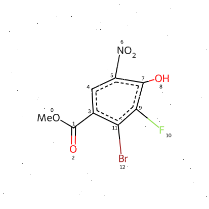 COC(=O)c1cc([N+](=O)[O-])c(O)c(F)c1Br